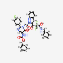 O=C(Cn1c(-c2ccc(F)cc2)ncc(NC(=O)OCc2ccccc2)c1=O)NC(Cc1ccccc1)C(=O)C(F)(F)C(=O)NCc1ccccc1